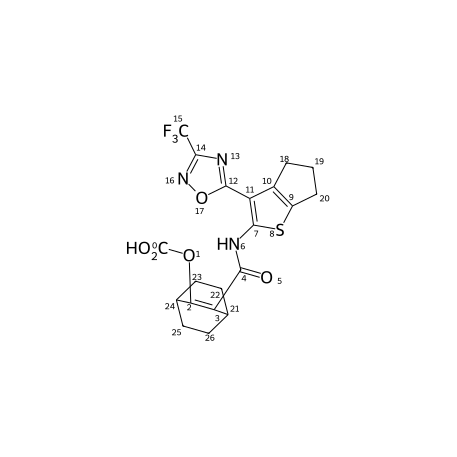 O=C(O)OC1=C(C(=O)Nc2sc3c(c2-c2nc(C(F)(F)F)no2)CCC3)C2CCC1CC2